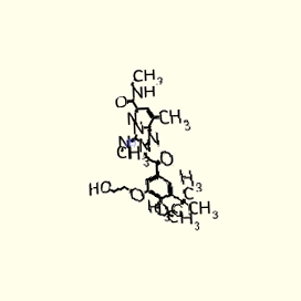 CCNC(=O)c1cc(C)c2nn(CC(=O)c3cc(OCCO)c(OC)c(C(C)(C)C)c3)/c(=N\C)n2n1